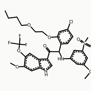 CCCCOCCOc1cc(Cl)ccc1C(Nc1cc(OC)cc(S(C)(=O)=O)c1)C(=O)c1c[nH]c2cc(OC)c(OC(F)(F)F)cc12